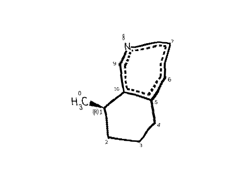 C[C@@H]1CCCc2ccncc21